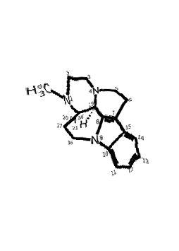 CN1CCN2CCc3c4n(c5ccccc35)CC[C@@H]1[C@H]42